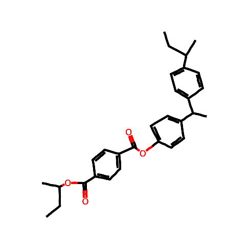 CCC(C)OC(=O)c1ccc(C(=O)Oc2ccc(C(C)c3ccc(C(C)CC)cc3)cc2)cc1